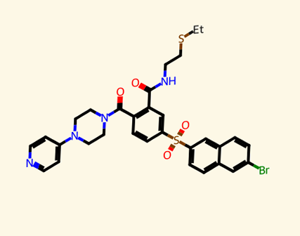 CCSCCNC(=O)c1cc(S(=O)(=O)c2ccc3cc(Br)ccc3c2)ccc1C(=O)N1CCN(c2ccncc2)CC1